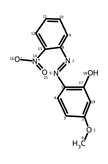 COc1ccc(N=Nc2ccccc2[N+](=O)[O-])c(O)c1